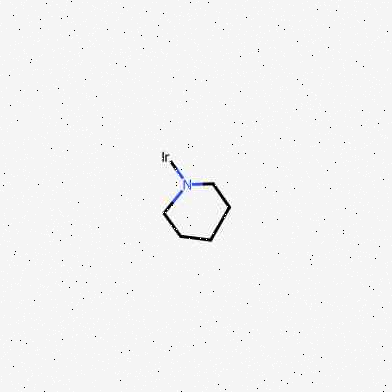 [Ir][N]1CCCCC1